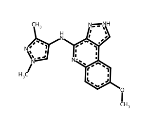 COc1ccc2nc(Nc3cn(C)nc3C)c3n[nH]cc3c2c1